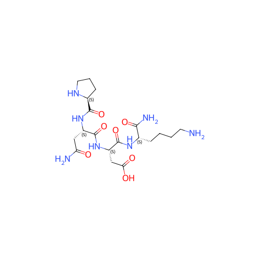 NCCCC[C@H](NC(=O)[C@H](CC(=O)O)NC(=O)[C@H](CC(N)=O)NC(=O)[C@@H]1CCCN1)C(N)=O